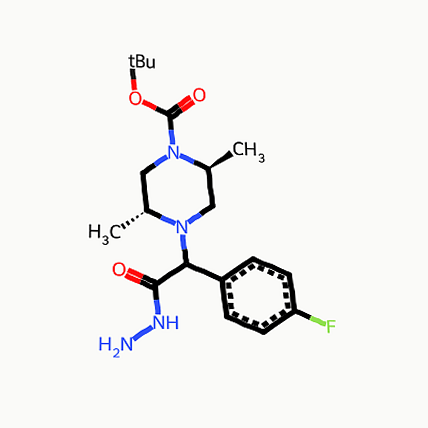 C[C@@H]1CN(C(=O)OC(C)(C)C)[C@@H](C)CN1C(C(=O)NN)c1ccc(F)cc1